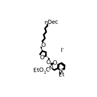 CCCCCCCCCCCCCCCCOC[C@@H]1CO[C@@H](COC(=O)N(Cc2cccc[n+]2CC)C(=O)OCC)C1.[I-]